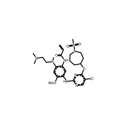 C=CC(=O)Nc1cc(Nc2ncc(Cl)c(OC3CCCN(S(C)(=O)=O)CC3)n2)c(OC)cc1N(C)CCN(C)C